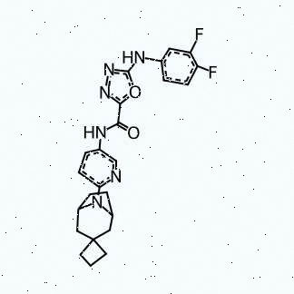 O=C(Nc1ccc(N2C3CCC2CC2(CCC2)C3)nc1)c1nnc(Nc2ccc(F)c(F)c2)o1